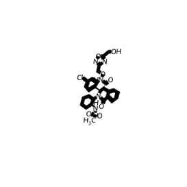 CS(=O)(=O)N[C@H]1CCCCC1N1C(=O)c2ccccc2[C@@H](C(=O)NOCc2noc(CO)n2)[C@@H]1c1ccc(Cl)cc1